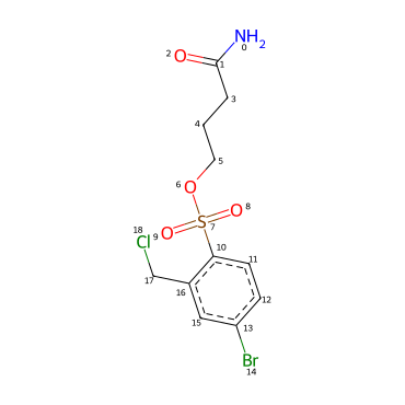 NC(=O)CCCOS(=O)(=O)c1ccc(Br)cc1CCl